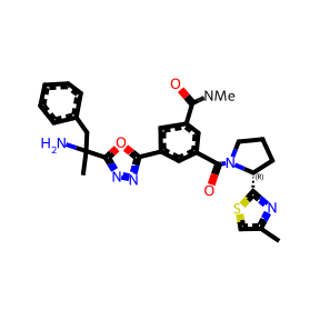 CNC(=O)c1cc(C(=O)N2CCC[C@@H]2c2nc(C)cs2)cc(-c2nnc(C(C)(N)Cc3ccccc3)o2)c1